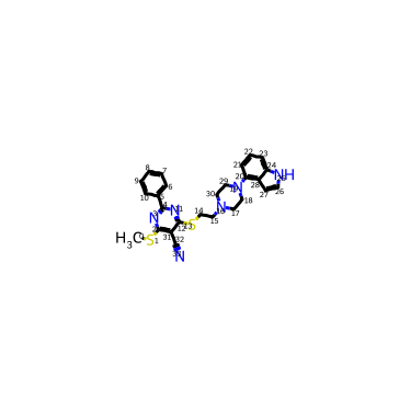 CSc1nc(-c2ccccc2)nc(SCCN2CCN(c3cccc4[nH]ccc34)CC2)c1C#N